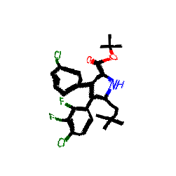 CC(C)(C)CC1NC(C(=O)OC(C)(C)C)C(c2cccc(Cl)c2)C1c1ccc(Cl)c(F)c1F